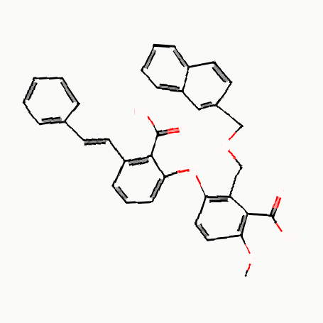 COc1ccc(Oc2cccc(/C=C/c3ccccc3)c2C(=O)O)c(COCc2ccc3ccccc3c2)c1C(=O)O